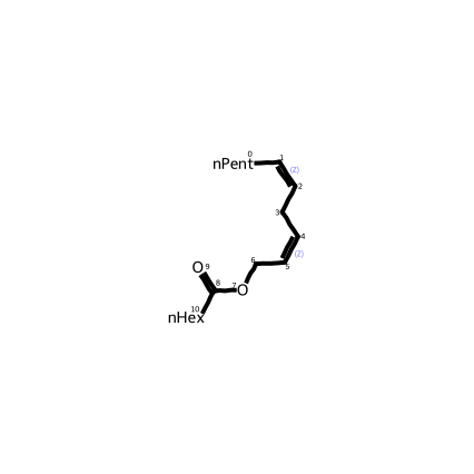 CCCCC/C=C\C/C=C\COC(=O)CCCCCC